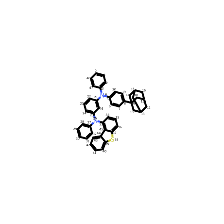 c1ccc(N(c2ccc(C34CC5CC(CC(C5)C3)C4)cc2)c2cccc(N(c3ccccc3)c3cccc4sc5ccccc5c34)c2)cc1